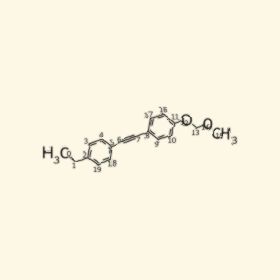 CCc1ccc(C#Cc2ccc(OCOC)cc2)cc1